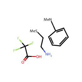 CNc1ccccc1.CSCCN.O=C(O)C(F)(F)F